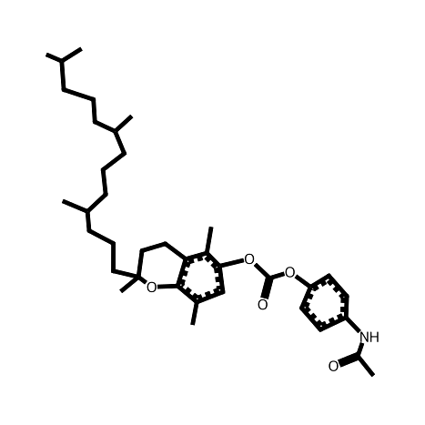 CC(=O)Nc1ccc(OC(=O)Oc2cc(C)c3c(c2C)CCC(C)(CCCC(C)CCCC(C)CCCC(C)C)O3)cc1